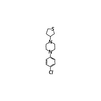 Clc1ccc(N2CCN(C3CCSC3)CC2)cc1